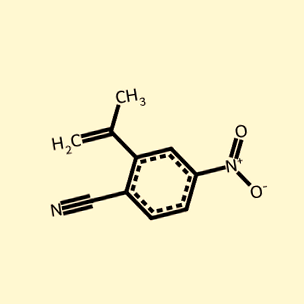 C=C(C)c1cc([N+](=O)[O-])ccc1C#N